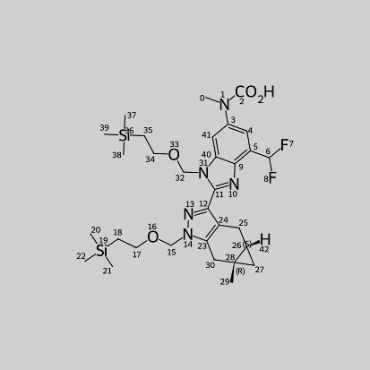 CN(C(=O)O)c1cc(C(F)F)c2nc(-c3nn(COCC[Si](C)(C)C)c4c3C[C@@H]3C[C@]3(C)C4)n(COCC[Si](C)(C)C)c2c1